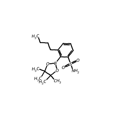 CCCCc1cccc(S(N)(=O)=O)c1B1OC(C)(C)C(C)(C)O1